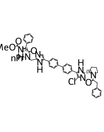 CCCN(Cc1ncc(-c2ccc(-c3ccc(-c4[nH]c([C@@H]5CCCN5C(=O)Cc5ccccc5)nc4Cl)cc3)cc2)[nH]1)C(=O)[C@@H](NC(=O)OC)c1ccccc1